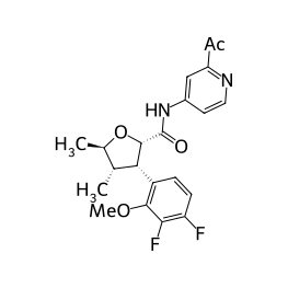 COc1c([C@@H]2[C@H](C)[C@@H](C)O[C@@H]2C(=O)Nc2ccnc(C(C)=O)c2)ccc(F)c1F